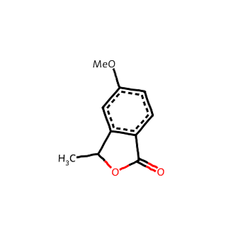 COc1ccc2c(c1)C(C)OC2=O